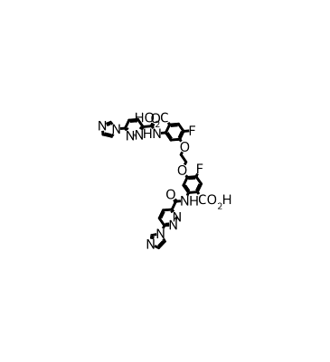 O=C(Nc1cc(OCCOc2cc(NC(=O)c3ccc(-n4ccnc4)nn3)c(C(=O)O)cc2F)c(F)cc1C(=O)O)c1ccc(-n2ccnc2)nn1